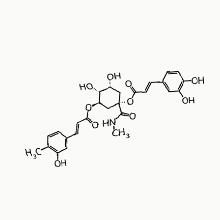 CNC(=O)[C@]1(OC(=O)/C=C/c2ccc(O)c(O)c2)C[C@@H](O)[C@@H](O)[C@H](OC(=O)/C=C/c2ccc(C)c(O)c2)C1